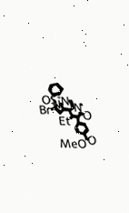 CCc1c(-c2ccc(C(=O)OC)cc2)c(=O)n(C)c2cnc3c(cc(Br)n3[S+]([O-])c3ccccc3)c12